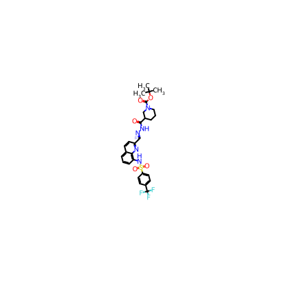 CC(C)(C)OC(=O)N1CCCC(C(=O)N/N=C/c2ccc3cccc(NS(=O)(=O)c4ccc(C(F)(F)F)cc4)c3n2)C1